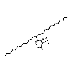 CCCCCCCCCCCCC(CCCCCCCCCCCC)C(=O)NC(CC)N(C)C